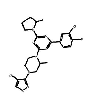 CC1CN(c2nscc2Cl)CCN1c1cc(-c2ccc(F)c(Cl)c2)nc(N2CCCC2C)n1